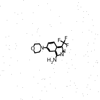 Nc1nnc(C(F)(F)F)c2ccc(N3CCOCC3)cc12